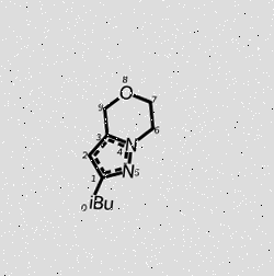 CCC(C)c1cc2n(n1)CCOC2